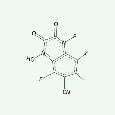 Cc1c(C#N)c(F)c2c(c1F)n(F)c(=O)c(=O)n2O